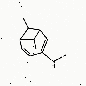 CNC1=CC2C(C)C(C=C1)C2C